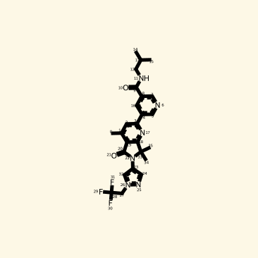 Cc1cc(-c2cncc(C(=O)NCC(C)C)c2)nc2c1C(=O)N(c1cnn(CC(F)(F)F)c1)C2(C)C